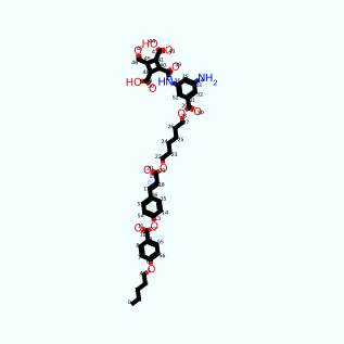 CCCCCOc1ccc(C(=O)Oc2ccc(/C=C/C(=O)OCCCCCCOC(=O)c3cc(N)cc(NC(=O)C4C(C(=O)O)C(C=O)C4C(=O)O)c3)cc2)cc1